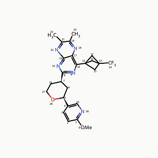 COc1ccc([C@@H]2C[C@H](c3nc(C45CC(C(F)(F)F)(C4)C5)c4nc(C)c(C)nc4n3)CCO2)cn1